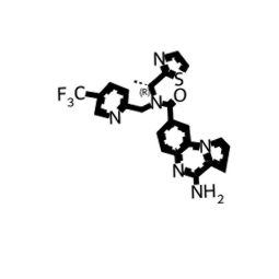 C[C@H](c1nccs1)N(Cc1ccc(C(F)(F)F)cn1)C(=O)c1ccc2nc(N)c3cccn3c2c1